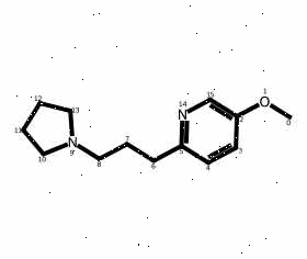 COc1ccc(CCCN2CCCC2)nc1